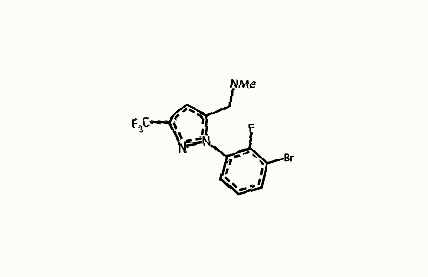 CNCc1cc(C(F)(F)F)nn1-c1cccc(Br)c1F